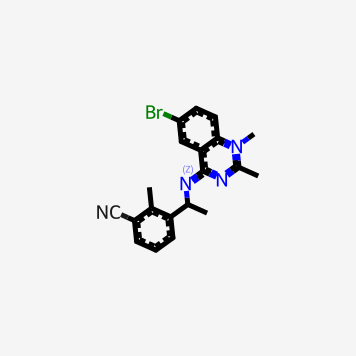 Cc1c(C#N)cccc1C(C)/N=c1\nc(C)n(C)c2ccc(Br)cc12